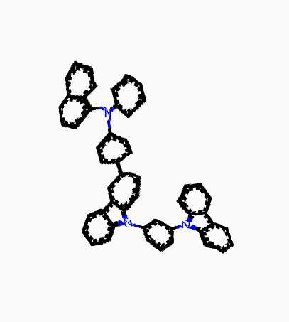 c1ccc(N(c2ccc(-c3ccc4c(c3)c3ccccc3n4-c3cccc(-n4c5ccccc5c5ccccc54)c3)cc2)c2cccc3ccccc23)cc1